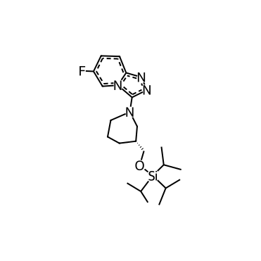 CC(C)[Si](OC[C@@H]1CCCN(c2nnc3ccc(F)cn23)C1)(C(C)C)C(C)C